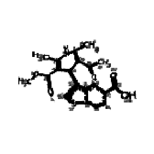 COC(=O)C1=C(C)NC(C)=C(C(C)=O)C1c1csc2ccc(C(=O)O)cc12